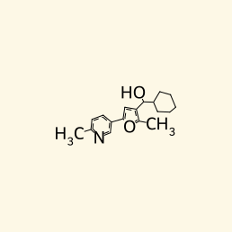 Cc1ccc(-c2cc(C(O)C3CCCCC3)c(C)o2)cn1